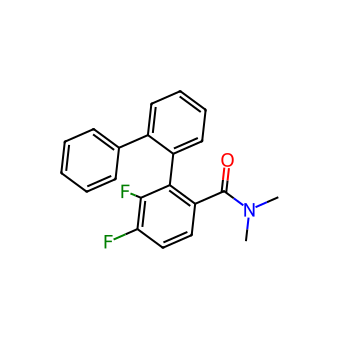 CN(C)C(=O)c1ccc(F)c(F)c1-c1ccccc1-c1ccccc1